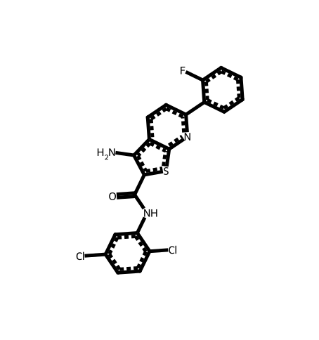 Nc1c(C(=O)Nc2cc(Cl)ccc2Cl)sc2nc(-c3ccccc3F)ccc12